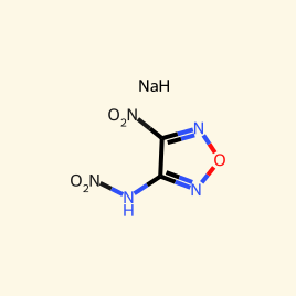 O=[N+]([O-])Nc1nonc1[N+](=O)[O-].[NaH]